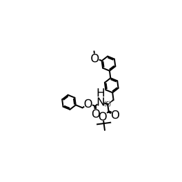 COc1cccc(-c2ccc(C[C@H](NC(=O)OCc3ccccc3)C(=O)OC(C)(C)C)cc2)c1